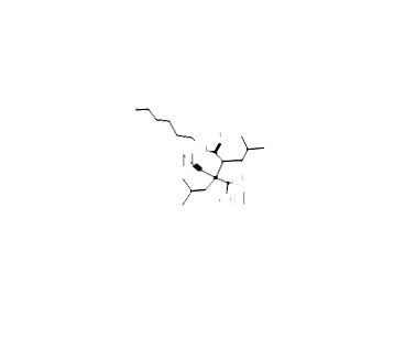 CCCCCCOC(=O)C(CC(C)C)C(C#N)(CC(C)C)C(=O)O